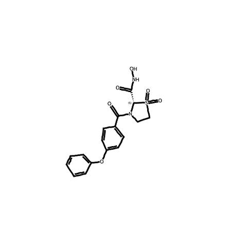 O=C(NO)[C@H]1N(C(=O)c2ccc(Oc3ccccc3)cc2)CCS1(=O)=O